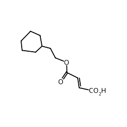 O=C(O)C=CC(=O)OCCC1CCCCC1